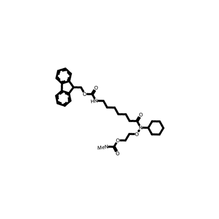 CNC(=O)OCCON(C(=O)CCCCCCNC(=O)OCC1c2ccccc2-c2ccccc21)C1CCCCC1